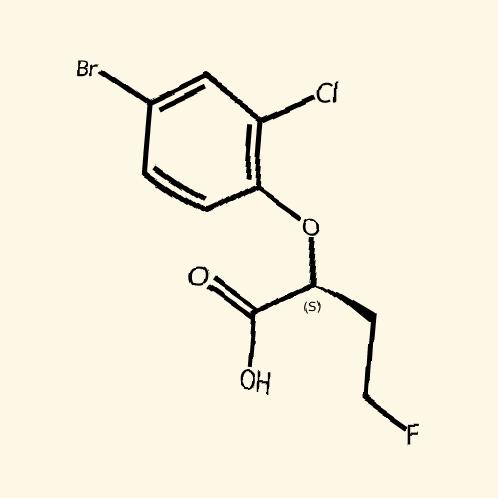 O=C(O)[C@H](CCF)Oc1ccc(Br)cc1Cl